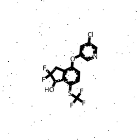 OC1c2c(SC(F)(F)F)ccc(Oc3cncc(Cl)c3)c2CC1(F)F